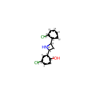 Oc1ccc(Cl)cc1C1CC(c2ccccc2Cl)N1